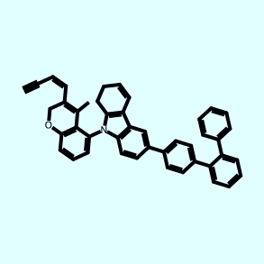 C#C/C=C\C1=C(C)c2c(cccc2-n2c3c(c4cc(-c5ccc(-c6ccccc6-c6ccccc6)cc5)ccc42)C=CCC3)OC1